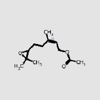 CC(=O)OC/C=C(/C)CCC1OC1(C)C